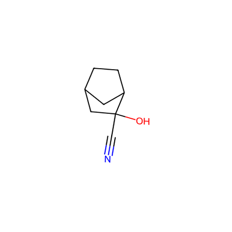 N#CC1(O)CC2CCC1C2